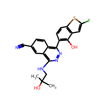 CC(C)(O)CNc1nnc(-c2ccc3sc(F)cc3c2O)c2ccc(C#N)cc12